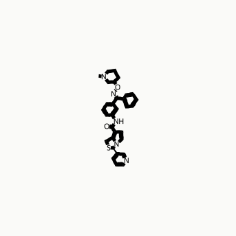 CN1CCCC(ON=C(c2ccccc2)c2cccc(NC(=O)c3ccn4c3CS[C@@H]4c3cccnc3)c2)C1